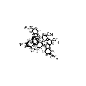 N#Cc1ccc(-c2cc(-c3c(C(F)(F)F)cccc3C(F)(F)F)ccc2-n2c3ccc(C(F)(F)F)cc3c3cc(C(F)(F)F)ccc32)c(-n2c3ccc(C(F)(F)F)cc3c3cc(C(F)(F)F)ccc32)c1